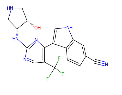 N#Cc1ccc2c(-c3nc(N[C@@H]4CNC[C@@H]4O)ncc3C(F)(F)F)c[nH]c2c1